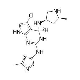 [2H]C1(N[C@H]2CN[C@@H](C)C2)NC(Nc2cnc(C)s2)=Nc2[nH]cc(Cl)c21